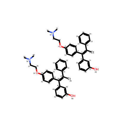 CC/C(=C(/c1ccc(OCCN(C)C)cc1)c1cccc(O)c1)c1ccccc1.CC/C(=C(/c1ccc(OCCN(C)C)cc1)c1cccc(O)c1)c1ccccc1